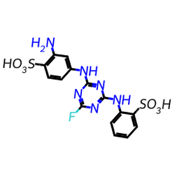 Nc1cc(Nc2nc(F)nc(Nc3ccccc3S(=O)(=O)O)n2)ccc1S(=O)(=O)O